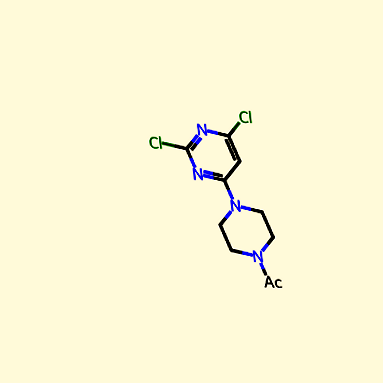 CC(=O)N1CCN(c2cc(Cl)nc(Cl)n2)CC1